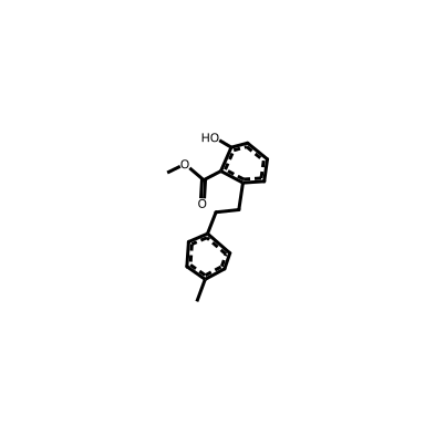 COC(=O)c1c(O)cccc1CCc1ccc(C)cc1